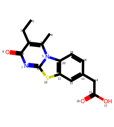 CCc1c(C)n2c(nc1=O)sc1cc(CC(=O)O)ccc12